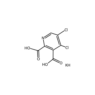 O=C(O)c1ncc(Cl)c(Cl)c1C(=O)O.[KH]